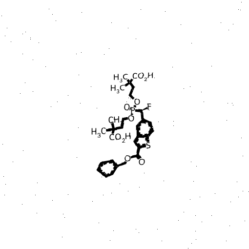 CC(C)(CCOP(=O)(OCCC(C)(C)C(=O)O)[C@@H](F)c1ccc2sc(C(=O)OCc3ccccc3)cc2c1)C(=O)O